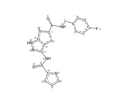 O=C(NCc1ccc(F)cc1)c1cc2c(NC(=O)c3nccs3)n[nH]c2s1